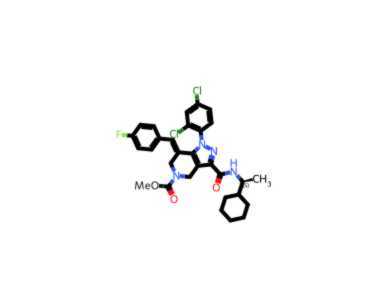 COC(=O)N1CC(=Cc2ccc(F)cc2)c2c(c(C(=O)N[C@@H](C)C3CCCCC3)nn2-c2ccc(Cl)cc2Cl)C1